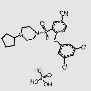 N#Cc1ccc(Sc2cc(Cl)cc(Cl)c2)c(S(=O)(=O)N2CCN(C3CCCC3)CC2)c1.O=P(O)(O)O